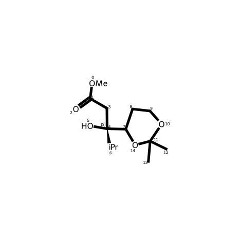 COC(=O)C[C@](O)(C(C)C)C1CCOC(C)(C)O1